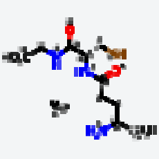 N[C@@H](CCC(=O)N[C@@H](CS)C(=O)NCC(=O)O)C(=O)O.[Mg]